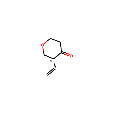 C=C[C@@H]1COCCC1=O